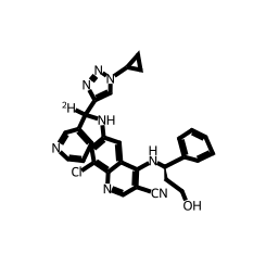 [2H]C(Nc1cc(Cl)c2ncc(C#N)c(N[C@H](CCO)c3ccccc3)c2c1)(c1cccnc1)c1cn(C2CC2)nn1